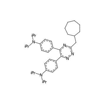 CC(C)N(c1ccc(-c2nnc(CC3CCCCCC3)nc2-c2ccc(N(C(C)C)C(C)C)cc2)cc1)C(C)C